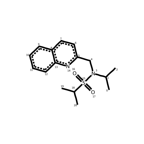 CC(C)N(Cc1ccc2ccccc2n1)S(=O)(=O)C(C)C